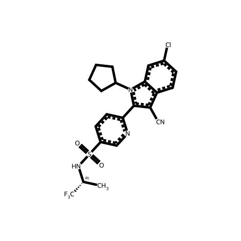 C[C@@H](NS(=O)(=O)c1ccc(-c2c(C#N)c3ccc(Cl)cc3n2C2CCCC2)nc1)C(F)(F)F